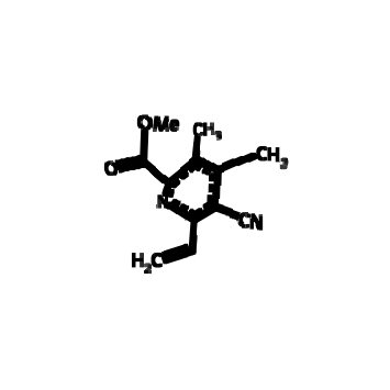 C=Cc1nc(C(=O)OC)c(C)c(C)c1C#N